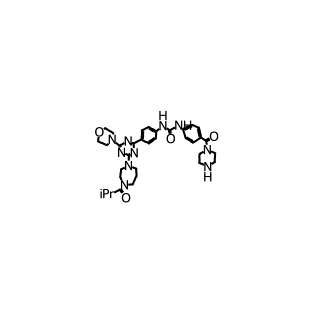 CC(C)C(=O)N1CCCN(c2nc(-c3ccc(NC(=O)Nc4ccc(C(=O)N5CCNCC5)cc4)cc3)nc(N3CCOCC3)n2)CC1